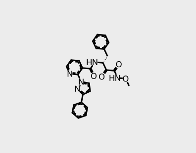 CONC(=O)C(=O)[C@@H](Cc1ccccc1)NC(=O)c1cccnc1-n1ccc(-c2ccccc2)n1